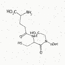 CCCCCCCCCCN(CC(=O)O)C(=O)C(CS)NC(=O)CCC(N)C(=O)O